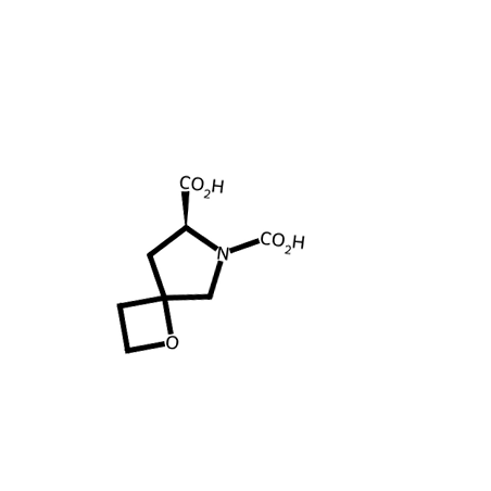 O=C(O)[C@@H]1CC2(CCO2)CN1C(=O)O